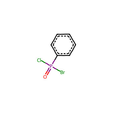 O=P(Cl)(Br)c1ccccc1